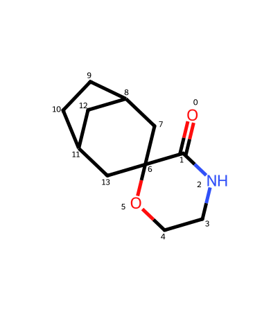 O=C1NCCOC12CC1CCC(C1)C2